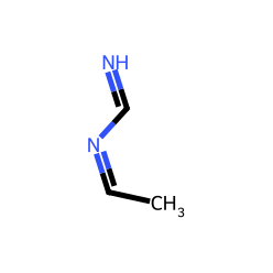 C/C=N\C=N